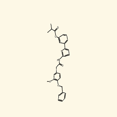 COc1cc(CC(=O)Nc2cccc(-c3cccc(OC(=O)C(C)C)c3)n2)ccc1OCc1ccccc1